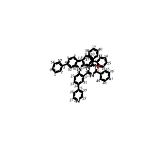 c1ccc(-c2ccc3c4ccc(-c5ccccc5)cc4n(-c4ccc(-c5ccncc5)cc4-c4nc(-c5ccccc5)nc(-c5ccccc5)n4)c3c2)cc1